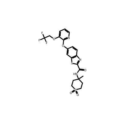 CC1(NC(=O)c2nc3ccc(Oc4ncccc4OCC(F)(F)F)cc3s2)CCS(=O)(=O)CC1